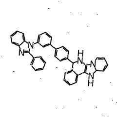 C1=CC2NC3=C(NC(c4ccc(-c5cccc(-n6c(-c7ccccc7)nc7ccccc76)c5)cc4)c4ccccc43)N2C=C1